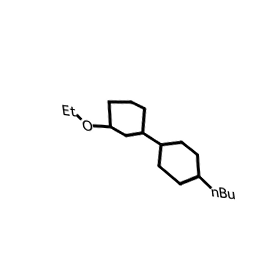 CCCCC1CCC(C2CCCC(OCC)C2)CC1